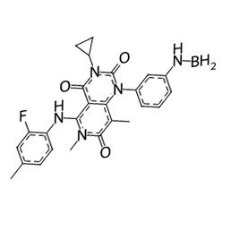 BNc1cccc(-n2c(=O)n(C3CC3)c(=O)c3c(Nc4ccc(C)cc4F)n(C)c(=O)c(C)c32)c1